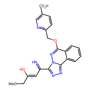 COC/C(O)=C/C(=N)c1nnc2c3ccccc3c(OCc3ccc(C(=O)O)cn3)nn12